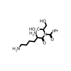 CCCC(=O)N(C(=O)C(N)CCCCN)C(CO)C(=O)O